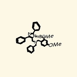 CCCCn1c(-c2ccccc2)nc(-c2ccccc2)c1CN(Cc1ccccc1)Cc1ccc(OC)cc1OC